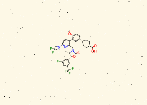 COc1ccc([C@H]2CC[C@H](C(=O)O)CC2)cc1-c1ccc(N2CC(F)(F)C2)nc1CN1C(=O)O[C@H](c2cc(F)cc(C(F)(F)F)c2)[C@@H]1C